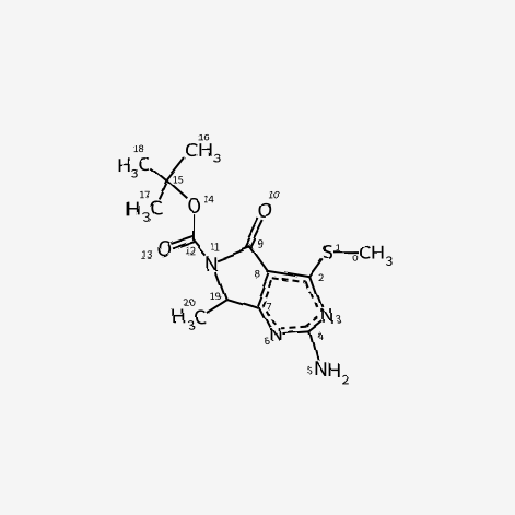 CSc1nc(N)nc2c1C(=O)N(C(=O)OC(C)(C)C)C2C